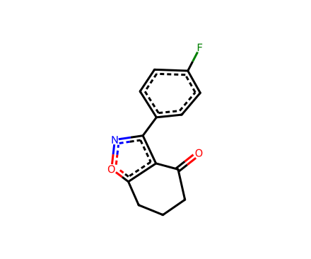 O=C1CCCc2onc(-c3ccc(F)cc3)c21